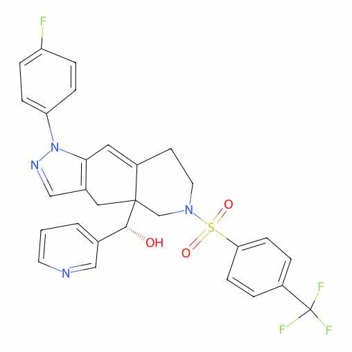 O=S(=O)(c1ccc(C(F)(F)F)cc1)N1CCC2=Cc3c(cnn3-c3ccc(F)cc3)CC2([C@H](O)c2cccnc2)C1